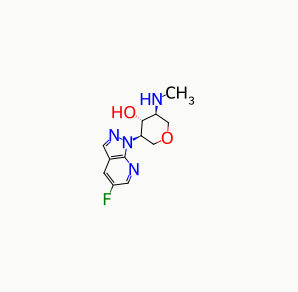 CN[C@H]1COC[C@@H](n2ncc3cc(F)cnc32)[C@@H]1O